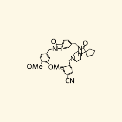 COc1ccc(CNC(=O)c2ccc(CNC(=O)C3(C4CCN(Cc5ccc(C#N)cc5)CC4)CCCC3)cc2)cc1OC